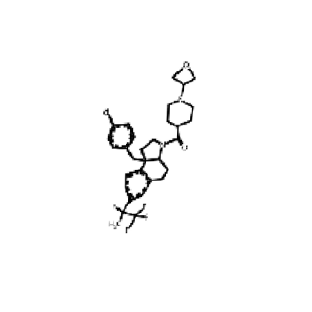 CC(F)(c1ccc2c(c1)CCC1N(C(=O)C3CCN(C4COC4)CC3)CCC21Cc1ccc(Cl)cc1)C(F)(F)F